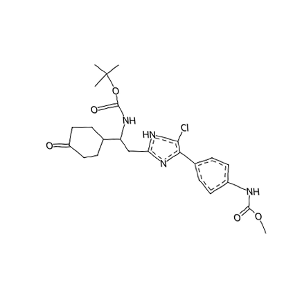 COC(=O)Nc1ccc(-c2nc(CC(NC(=O)OC(C)(C)C)C3CCC(=O)CC3)[nH]c2Cl)cc1